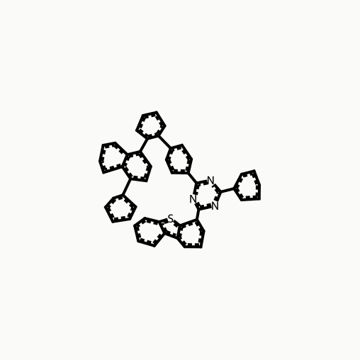 c1ccc(-c2nc(-c3ccc(-c4ccccc4-c4ccc(-c5ccccc5)c5ccccc45)cc3)nc(-c3cccc4c3sc3ccccc34)n2)cc1